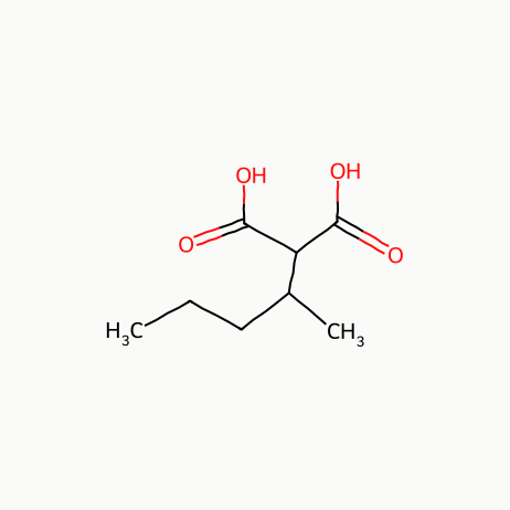 CCCC(C)C(C(=O)O)C(=O)O